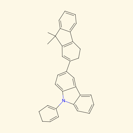 CC1(C)C2=C(CCC(c3ccc4c(c3)c3ccccc3n4C3=CCCC=C3)=C2)c2ccccc21